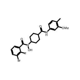 COc1cc(NC(=O)C2CCC(N(O)C(=O)c3cccc(Br)c3F)CC2)ccc1C